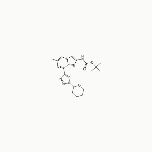 Cc1cn2cc(NC(=O)OC(C)(C)C)nc2c(-c2cn(C3CCCCO3)nn2)n1